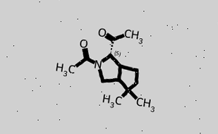 CC(=O)[C@@H]1C2CCC(C)(C)C2CN1C(C)=O